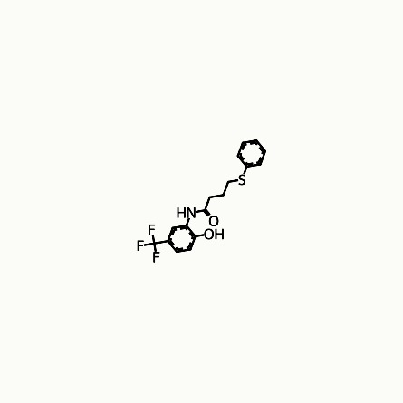 O=C(CCCSc1ccccc1)Nc1cc(C(F)(F)F)ccc1O